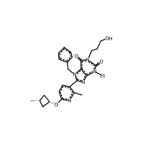 CCn1c(=O)n(CCCO)c(=O)c2c1nc(-c1ccc(O[C@H]3C[C@@H](C)C3)nc1C)n2Cc1ccccc1